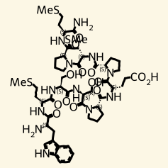 CSCC[C@H](NC(=O)[C@@H]1CCCN1C(=O)[C@H](CCSC)NC(=O)[C@@H]1CCCN1C(=O)[C@H](CCC(=O)O)NC(=O)[C@@H]1CCCN1C(=O)[C@@H](NC(=O)[C@H](CO)NC(=O)[C@H](CCSC)NC(=O)[C@@H](N)Cc1c[nH]c2ccccc12)[C@@H](C)O)C(N)=O